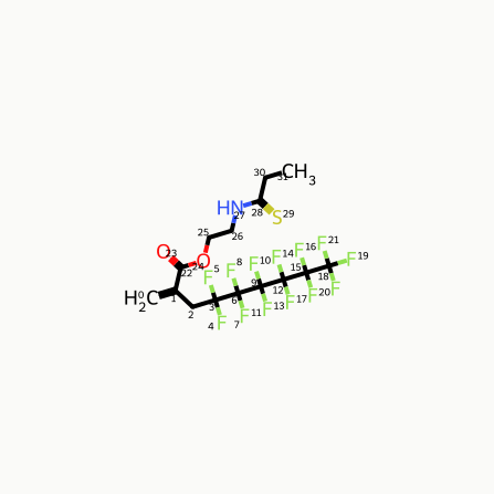 C=C(CC(F)(F)C(F)(F)C(F)(F)C(F)(F)C(F)(F)C(F)(F)F)C(=O)OCCNC(=S)CC